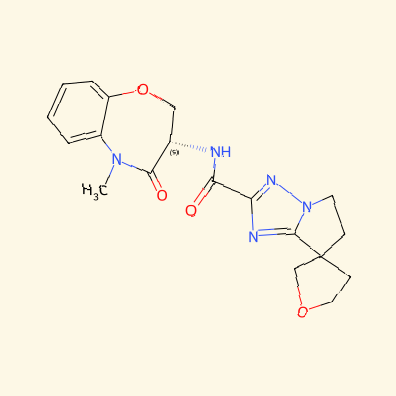 CN1C(=O)[C@@H](NC(=O)c2nc3n(n2)CCC32CCOC2)COc2ccccc21